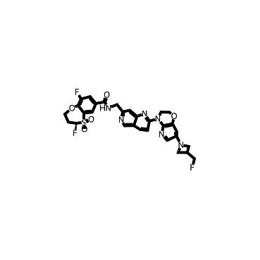 O=C(NCc1cc2nc(N3CCOc4cc(N5CC(CF)C5)cnc43)ccc2cn1)c1cc(F)c2c(c1)S(=O)(=O)[C@@H](F)CCO2